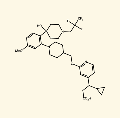 COc1ccc(C2(O)CCN(CC(F)(F)C(F)(F)F)CC2)c(N2CCC(COc3cc(C(CC(=O)O)C4CC4)ccn3)CC2)c1